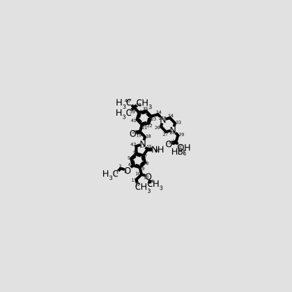 Br.CCOc1cc2c(cc1C(CC)OC)C(=N)N(CC(=O)c1cc(CN3CCN(CC(=O)O)CC3)cc(C(C)(C)C)c1)C2